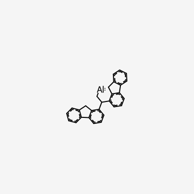 [Al][CH2]C(c1cccc2c1Cc1ccccc1-2)c1cccc2c1Cc1ccccc1-2